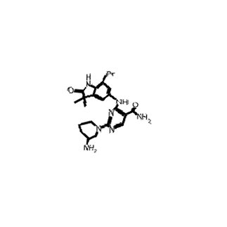 CC(C)c1cc(Nc2nc(N3CCCC(N)C3)ncc2C(N)=O)cc2c1NC(=O)C2(C)C